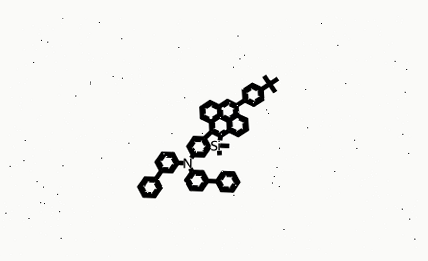 CC(C)(C)c1ccc(-c2cc3cccc4c5c(c6cccc2c6c34)[Si](C)(C)c2cc(N(c3cccc(-c4ccccc4)c3)c3cccc(-c4ccccc4)c3)ccc2-5)cc1